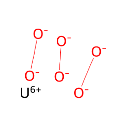 [O-][O-].[O-][O-].[O-][O-].[U+6]